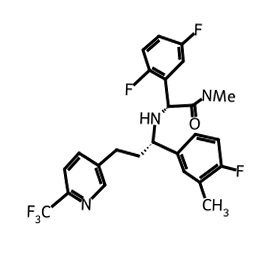 CNC(=O)[C@H](N[C@@H](CCc1ccc(C(F)(F)F)nc1)c1ccc(F)c(C)c1)c1cc(F)ccc1F